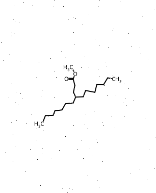 CCCCCCCC(CCCCCCC)CCC(=O)OC